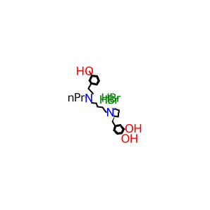 Br.Br.CCCN(CCCCCN1CCC[C@H]1Cc1ccc(O)c(O)c1)CCc1cccc(O)c1